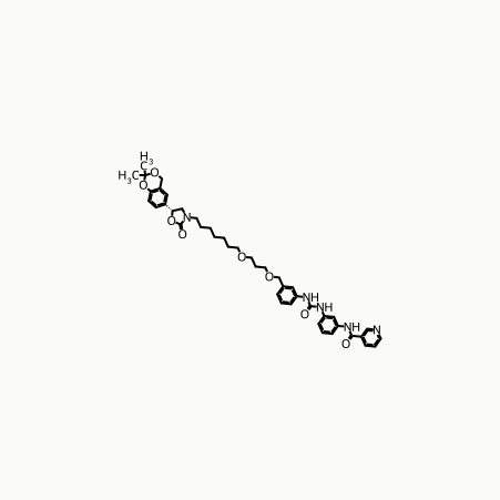 CC1(C)OCc2cc([C@@H]3CN(CCCCCCCOCCCOCc4cccc(NC(=O)Nc5cccc(NC(=O)c6cccnc6)c5)c4)C(=O)O3)ccc2O1